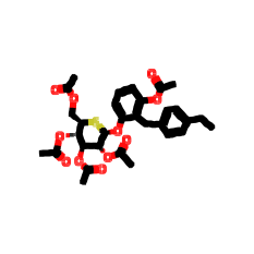 CCc1ccc(Cc2c(OC(C)=O)cccc2O[C@@H]2S[C@H](COC(C)=O)[C@@H](OC(C)=O)[C@H](OC(C)=O)[C@H]2OC(C)=O)cc1